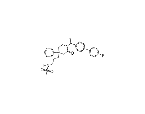 C[C@@H](c1ccc(-c2ccc(F)cc2)cc1)N1CCC(CCCNS(C)(=O)=O)(c2ccccc2)CC1=O